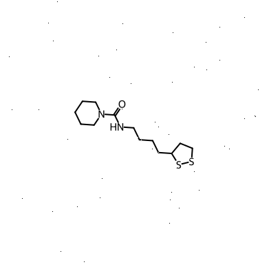 O=C(NCCCCC1CCSS1)N1CCCCC1